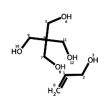 C=CCO.OCC(CO)(CO)CO